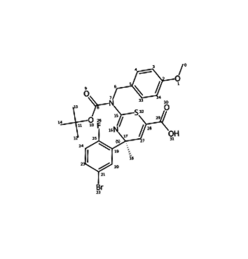 COc1ccc(CN(C(=O)OC(C)(C)C)C2=N[C@](C)(c3cc(Br)ccc3F)C=C(C(=O)O)S2)cc1